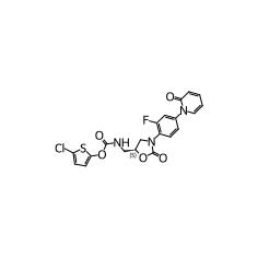 O=C(NC[C@H]1CN(c2ccc(-n3ccccc3=O)cc2F)C(=O)O1)Oc1ccc(Cl)s1